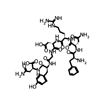 N=C(N)NCCC[C@H](NC(=O)[C@H](CC(N)=O)NC(=O)[C@@H](N)Cc1ccccc1)C(=O)N[C@@H](CC(=O)O)C(=O)NCC(=O)N[C@@H](Cc1ccc(O)cc1)C(=O)N[C@@H](CC(N)=O)C(=O)O